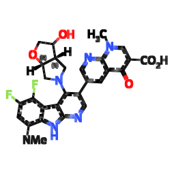 CNc1cc(F)c(F)c2c1[nH]c1ncc(-c3cnc4c(c3)c(=O)c(C(=O)O)cn4C)c(N3C[C@@H]4OCC(O)[C@@H]4C3)c12